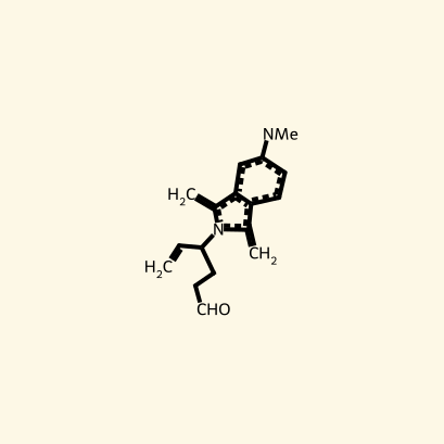 C=CC(CCC=O)n1c(=C)c2ccc(NC)cc2c1=C